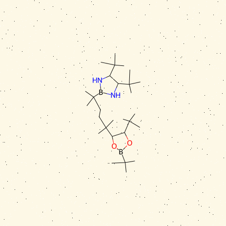 CC(C)(C)B1OC(C(C)(C)C)C(C(C)(C)CCC(C)(C)B2NC(C(C)(C)C)C(C(C)(C)C)N2)O1